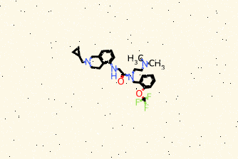 CN(C)CCN(Cc1ccccc1OC(F)(F)F)C(=O)CNc1cccc2c1CCN(CC1CC1)C2